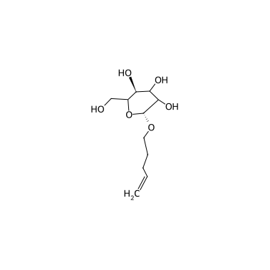 C=CCCCO[C@@H]1OC(CO)[C@@H](O)C(O)C1O